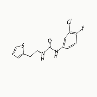 O=C(NCCc1cccs1)Nc1ccc(F)c(Cl)c1